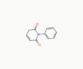 O=C1C=CCC(=O)N1c1ccccc1